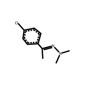 CC(=NN(C)C)c1ccc(Cl)cc1